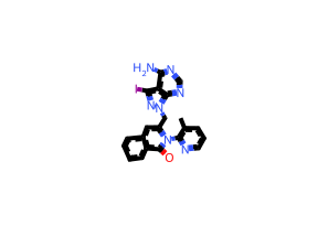 Cc1cccnc1-n1c(Cn2nc(I)c3c(N)ncnc32)cc2ccccc2c1=O